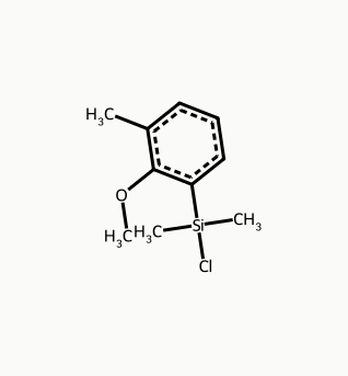 COc1c(C)cccc1[Si](C)(C)Cl